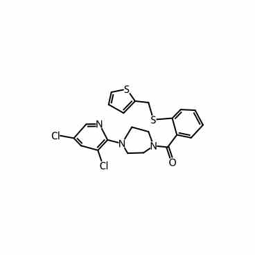 O=C(c1ccccc1SCc1cccs1)N1CCN(c2ncc(Cl)cc2Cl)CC1